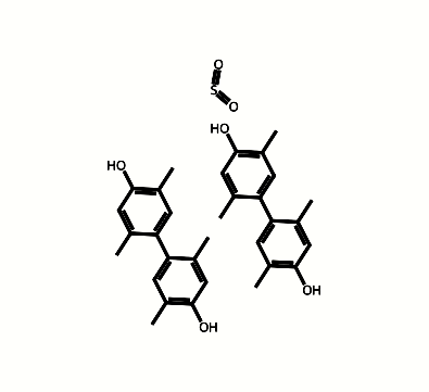 Cc1cc(-c2cc(C)c(O)cc2C)c(C)cc1O.Cc1cc(-c2cc(C)c(O)cc2C)c(C)cc1O.O=S=O